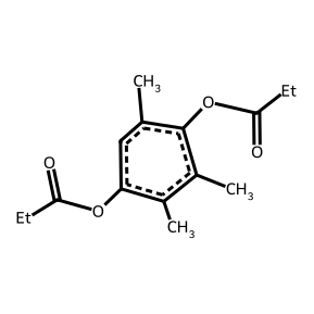 CCC(=O)Oc1cc(C)c(OC(=O)CC)c(C)c1C